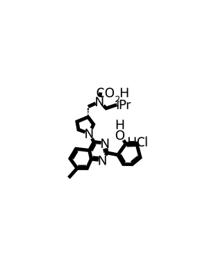 Cc1ccc2c(N3CC[C@H](CN(CC(C)C)C(=O)O)C3)nc(-c3ccccc3O)nc2c1.Cl